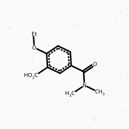 CCOc1ccc(C(=O)N(C)C)cc1C(=O)O